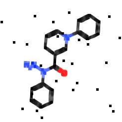 NN(C(=O)C1=CN(c2ccccc2)C=CC1)c1ccccc1